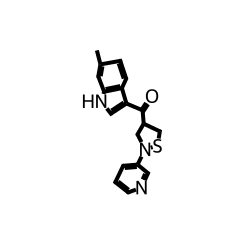 Cc1ccc2c(C(=O)C3CSN(c4cccnc4)C3)c[nH]c2c1